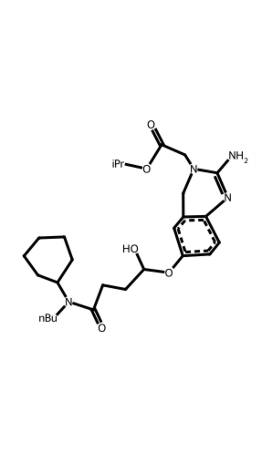 CCCCN(C(=O)CCC(O)Oc1ccc2c(c1)CN(CC(=O)OC(C)C)C(N)=N2)C1CCCCC1